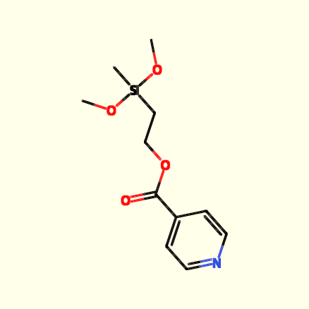 CO[Si](C)(CCOC(=O)c1ccncc1)OC